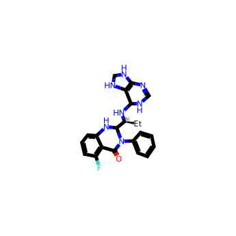 CC[C@H](NC1NC=NC2=C1NCN2)C1Nc2cccc(F)c2C(=O)N1c1ccccc1